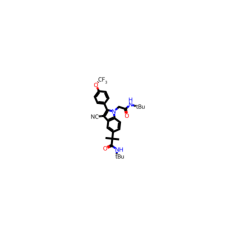 CC(C)(C)NC(=O)Cn1c(-c2ccc(OC(F)(F)F)cc2)c(C#N)c2cc(C(C)(C)C(=O)NC(C)(C)C)ccc21